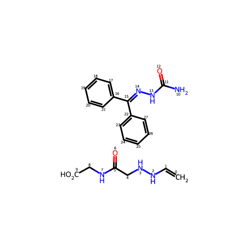 C=CNNCC(=O)NCC(=O)O.NC(=O)NN=C(c1ccccc1)c1ccccc1